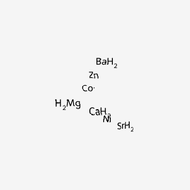 [BaH2].[CaH2].[Co].[MgH2].[Ni].[SrH2].[Zn]